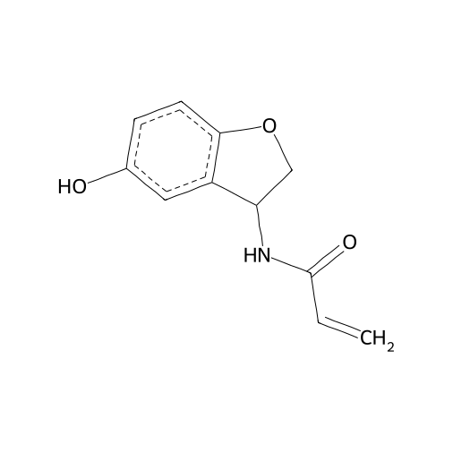 C=CC(=O)NC1COc2ccc(O)cc21